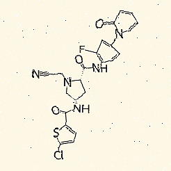 N#CCN1C[C@@H](NC(=O)c2ccc(Cl)s2)C[C@H]1C(=O)Nc1ccc(-n2ccccc2=O)cc1F